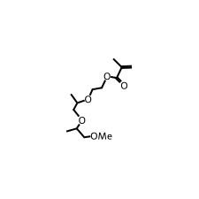 C=C(C)C(=O)OCCOC(C)COC(C)COC